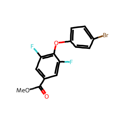 COC(=O)c1cc(F)c(Oc2ccc(Br)cc2)c(F)c1